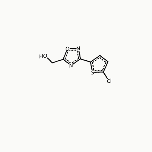 OCc1nc(-c2ccc(Cl)s2)no1